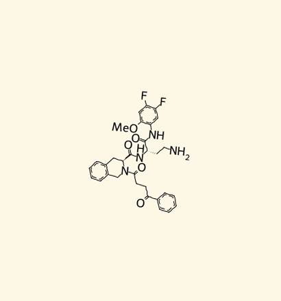 COc1cc(F)c(F)cc1NC(=O)[C@H](CCN)NC(=O)[C@@H]1Cc2ccccc2CN1C(=O)CCC(=O)c1ccccc1